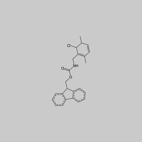 CC1=C(CNC(=O)OCC2c3ccccc3-c3ccccc32)C(Cl)C(C)C=C1